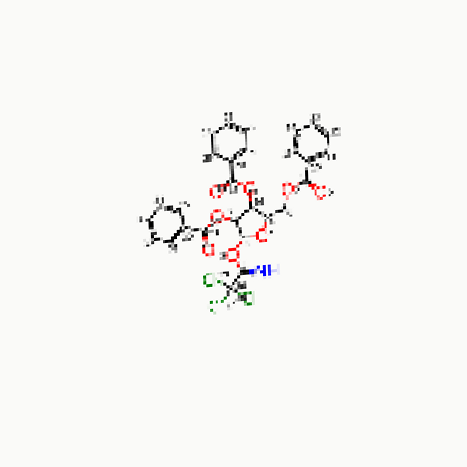 N=C(O[C@@H]1O[C@H](COC(=O)c2ccccc2)C(OC(=O)c2ccccc2)C1OC(=O)c1ccccc1)C(Cl)(Cl)Cl